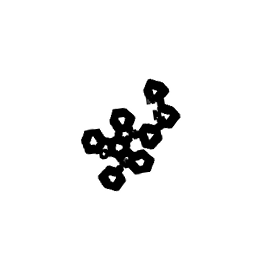 c1ccc(-n2c3ccccc3c3c2c2oc4ccccc4c2c2c4ccccc4n(-c4cccc(-c5cccc(-c6ccccn6)n5)c4)c23)cc1